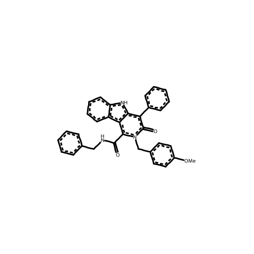 COc1ccc(Cn2c(C(=O)NCc3ccccc3)c3c([nH]c4ccccc43)c(-c3ccccc3)c2=O)cc1